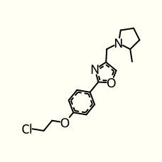 CC1CCCN1Cc1coc(-c2ccc(OCCCl)cc2)n1